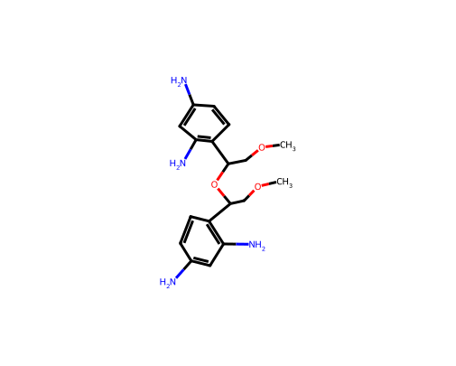 COCC(OC(COC)c1ccc(N)cc1N)c1ccc(N)cc1N